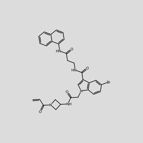 C=CC(=O)N1CC(NC(=O)Cn2cc(C(=O)NCCC(=O)Nc3cccc4ccccc34)c3cc(Br)ccc32)C1